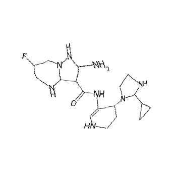 NC1NN2CC(F)CNC2C1C(=O)NC1=CNCCC1N1CCNC1C1CC1